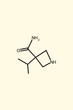 CC(C)C1(C(N)=O)CNC1